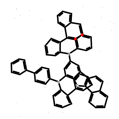 c1ccc(-c2ccc(N(c3ccccc3-c3ccccc3)c3cc(N(c4ccccc4)c4ccccc4-c4cccc5ccccc45)cc4c3oc3c5ccccc5ccc43)cc2)cc1